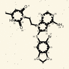 Cc1cc(=O)n(CCn2c(Sc3cc4c(cc3Br)OCO4)nc3c(N)ncnc32)c(=O)[nH]1